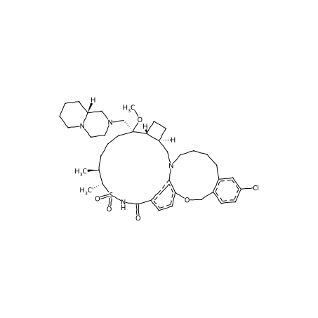 CO[C@]1(CN2CCN3CCCC[C@@H]3C2)CCC[C@H](C)[C@@H](C)S(=O)(=O)NC(=O)c2ccc3c(c2)N(CCCCc2cc(Cl)ccc2CO3)C[C@@H]2CC[C@H]21